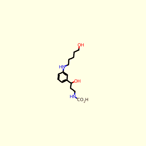 O=C(O)NCCC(O)c1cccc(NCCCCCO)c1